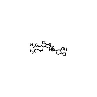 C=CCC(/C=C\CC(F)(F)F)C1CC(SN[C@@H]2CCC(Cl)C(O)C2)SC1Cl